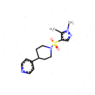 Cc1c(S(=O)(=O)N2CCC(c3ccncc3)CC2)cnn1C